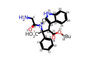 CN(C(=O)CN)[C@@](C(=O)O)(c1ccccc1)C(C(=O)OC(C)(C)C)c1c[nH]c2ccccc12